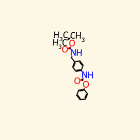 CC(C)(C)OC(=O)NCc1ccc(NC(=O)Oc2ccccc2)cc1